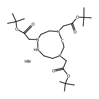 Br.CC(C)(C)OC(=O)CN1CCNN(CC(=O)OC(C)(C)C)CCN(CC(=O)OC(C)(C)C)CC1